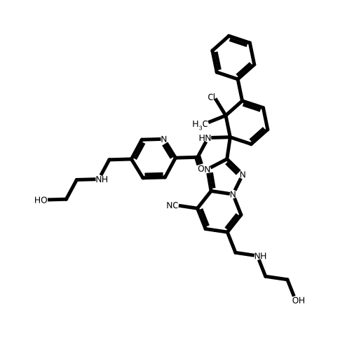 CC1(Cl)C(c2ccccc2)=CC=CC1(NC(=O)c1ccc(CNCCO)cn1)c1nc2c(C#N)cc(CNCCO)cn2n1